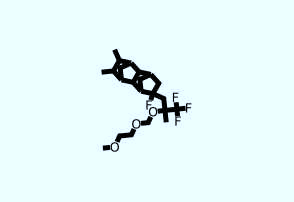 COCCOCOC(C)(CC1(F)CC2CC1C1C3CC(C(C)C3C)C21)C(F)(F)F